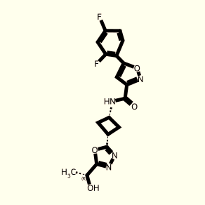 C[C@@H](O)c1nnc([C@H]2C[C@@H](NC(=O)c3cc(-c4ccc(F)cc4F)on3)C2)o1